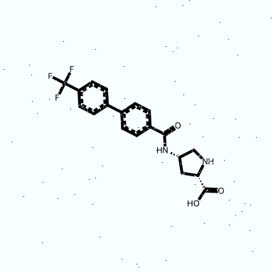 O=C(N[C@@H]1CN[C@H](C(=O)O)C1)c1ccc(-c2ccc(C(F)(F)F)cc2)cc1